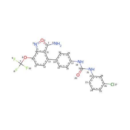 Nc1onc2c(OC(F)(F)F)ccc(-c3ccc(NC(=O)Nc4cccc(Cl)c4)cc3)c12